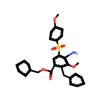 COc1ccc(S(=O)(=O)c2cc(C(=O)OCc3ccccc3)c(Cc3ccccc3)c(OC)c2N)cc1